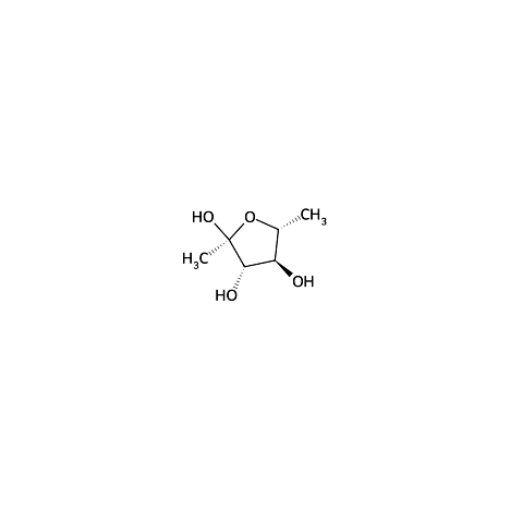 C[C@H]1O[C@](C)(O)[C@@H](O)[C@@H]1O